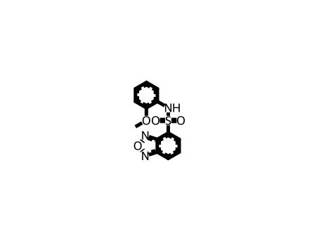 COc1ccccc1NS(=O)(=O)c1cccc2nonc12